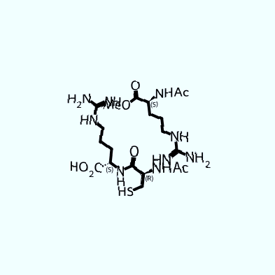 CC(=O)N[C@@H](CS)C(=O)N[C@@H](CCCNC(=N)N)C(=O)O.COC(=O)[C@H](CCCNC(=N)N)NC(C)=O